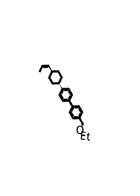 C/C=C\[C@H]1CC[C@H](c2ccc(-c3ccc(COCC)cc3)cc2)CC1